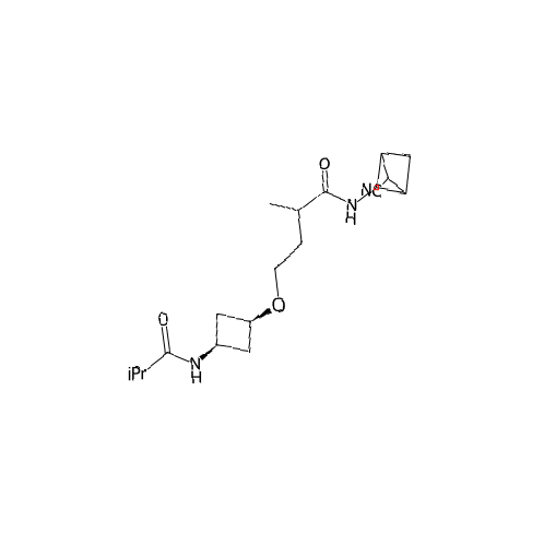 CC(C)C(=O)N[C@H]1C[C@@H](OCCC(C)C(=O)NC2C3CC2C3C#N)C1